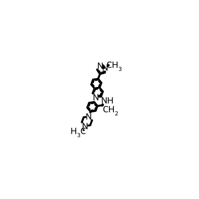 C=C(Nc1cc2cc(-c3cnn(C)c3)ccc2cn1)c1cccc(N2CCN(C)CC2)c1